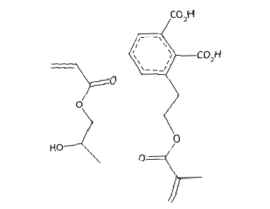 C=C(C)C(=O)OCCc1cccc(C(=O)O)c1C(=O)O.C=CC(=O)OCC(C)O